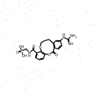 N=C(N)Nc1ccc2c(c1)CCCOc1c(cccc1C(=O)NCP(=O)(O)O)OC2=O